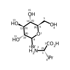 CC(C)[C@H](N)C(=O)O.OC[C@H]1OC(Br)[C@H](O)[C@@H](O)[C@@H]1O